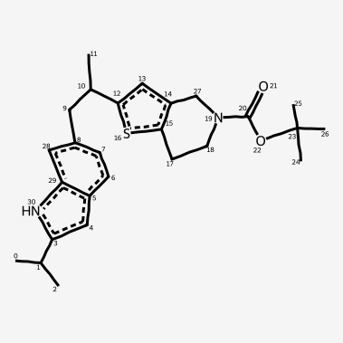 CC(C)c1cc2ccc(CC(C)c3cc4c(s3)CCN(C(=O)OC(C)(C)C)C4)cc2[nH]1